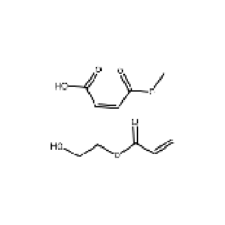 C=CC(=O)OCCO.COC(=O)/C=C\C(=O)O